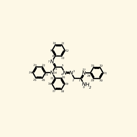 NC(CN=NCC(=Nc1ccccc1)N(c1ccccc1)c1ccccc1)=Nc1ccccc1